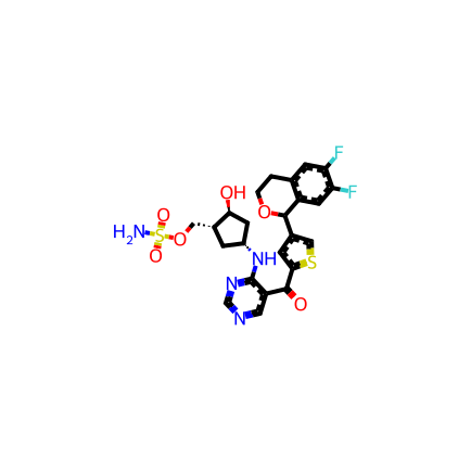 NS(=O)(=O)OC[C@H]1C[C@@H](Nc2ncncc2C(=O)c2cc(C3OCCc4cc(F)c(F)cc43)cs2)C[C@@H]1O